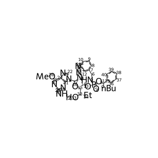 CCCCC(OP(=O)(NCc1ccccc1)OC[C@@H](O[C@@H](N=[N+]=[N-])n1cnc2c(OC)nc(N)nc21)[C@@H](O)CC)c1ccccc1